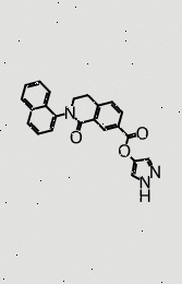 O=C(Oc1cn[nH]c1)c1ccc2c(c1)C(=O)N(c1cccc3ccccc13)CC2